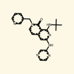 CC(C)(C)Nc1nc(Nc2cnccn2)cc2ccn(Cc3cccnc3)c(=O)c12